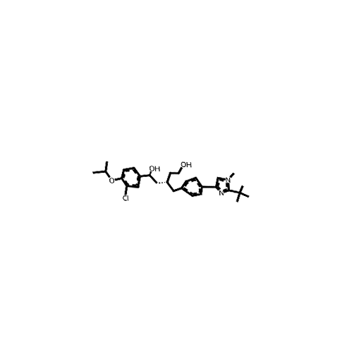 CC(C)Oc1ccc([C@@H](O)C[C@H](CCO)Cc2ccc(-c3cn(C)c(C(C)(C)C)n3)cc2)cc1Cl